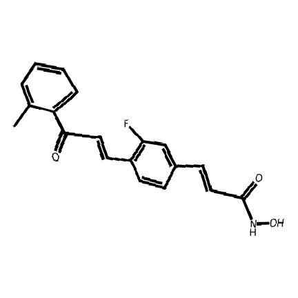 Cc1ccccc1C(=O)/C=C/c1ccc(/C=C/C(=O)NO)cc1F